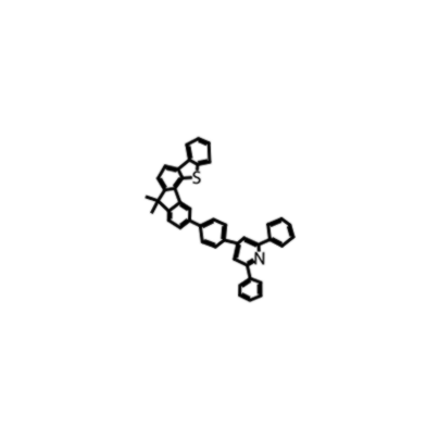 CC1(C)c2ccc(-c3ccc(-c4cc(-c5ccccc5)nc(-c5ccccc5)c4)cc3)cc2-c2c1ccc1c2sc2ccccc21